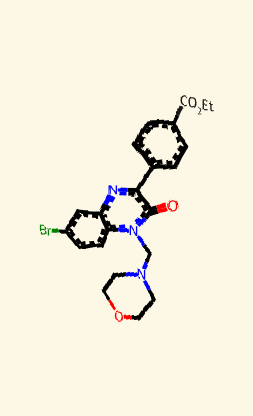 CCOC(=O)c1ccc(-c2nc3cc(Br)ccc3n(CN3CCOCC3)c2=O)cc1